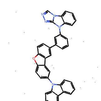 c1cc(-c2ccc3oc4ccc(-n5c6ccccc6c6ccccc65)cc4c3c2)cc(-n2c3ccccc3n3cnnc23)c1